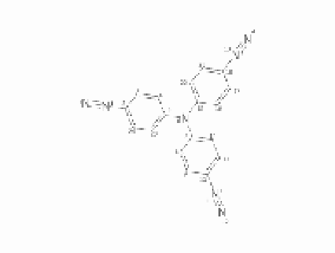 N#[N+]c1ccc(N(c2ccc([N+]#N)cc2)c2ccc([N+]#N)cc2)cc1